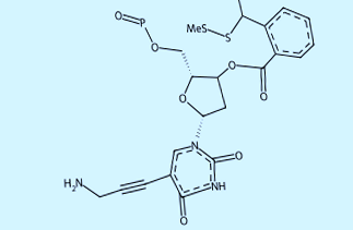 CSSC(C)c1ccccc1C(=O)OC1C[C@H](n2cc(C#CCN)c(=O)[nH]c2=O)O[C@@H]1COP=O